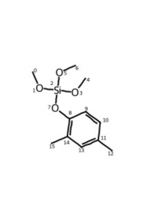 CO[Si](OC)(OC)Oc1ccc(C)cc1C